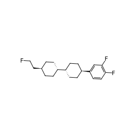 FCC[C@H]1CC[C@H]([C@H]2CC[C@H](c3ccc(F)c(F)c3)CC2)CC1